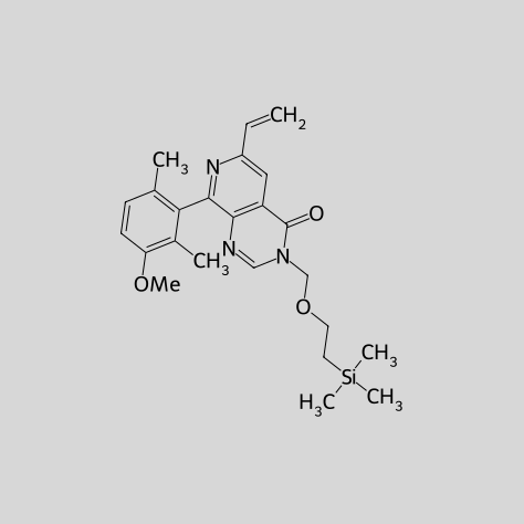 C=Cc1cc2c(=O)n(COCC[Si](C)(C)C)cnc2c(-c2c(C)ccc(OC)c2C)n1